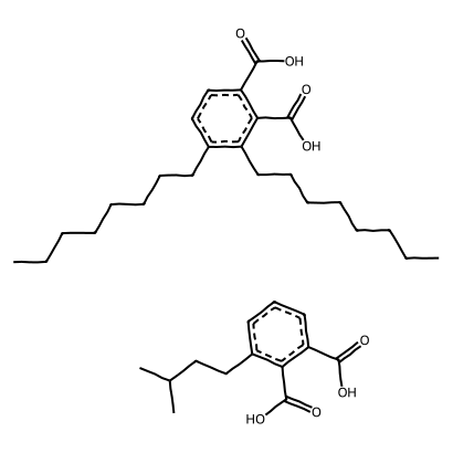 CC(C)CCc1cccc(C(=O)O)c1C(=O)O.CCCCCCCCc1ccc(C(=O)O)c(C(=O)O)c1CCCCCCCC